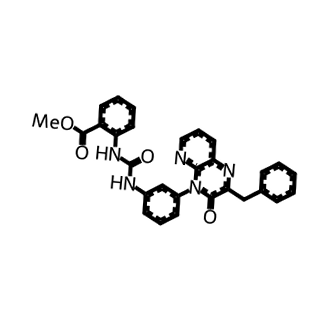 COC(=O)c1ccccc1NC(=O)Nc1cccc(-n2c(=O)c(Cc3ccccc3)nc3cccnc32)c1